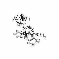 Cc1sc2nc(SCC(=O)NN)n(-c3ccccc3)c(=O)c2c1-c1ccccc1